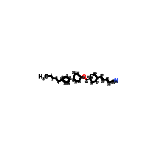 CCCCCc1ccc([C@H]2CC[C@H](OC[C@H]3CC[C@H](/C=C/C=C/C#N)CC3)CC2)cc1